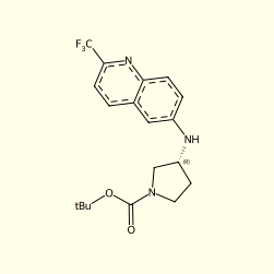 CC(C)(C)OC(=O)N1CC[C@@H](Nc2ccc3nc(C(F)(F)F)ccc3c2)C1